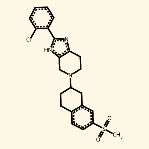 CS(=O)(=O)c1ccc2c(c1)CC(N1CCc3nc(-c4ccccc4Cl)[nH]c3C1)CC2